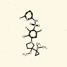 COC1(C2(N(C)C)CC2)CCN(c2cc(F)c(S(=O)(=O)Nc3cccc(F)n3)c(F)c2Cl)C1